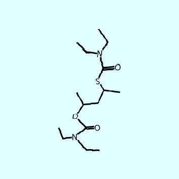 CCN(CC)C(=O)OC(C)CC(C)SC(=O)N(CC)CC